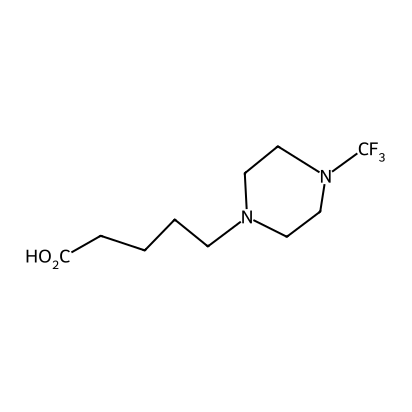 O=C(O)CCCCN1CCN(C(F)(F)F)CC1